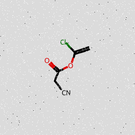 C=C(Cl)OC(=O)CC#N